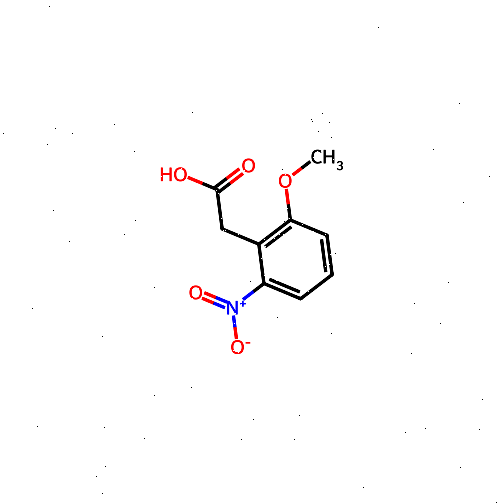 COc1cccc([N+](=O)[O-])c1CC(=O)O